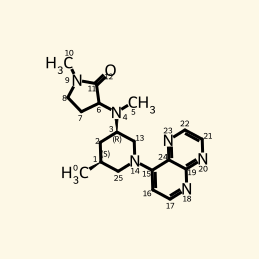 C[C@H]1C[C@@H](N(C)C2CCN(C)C2=O)CN(c2ccnc3nccnc23)C1